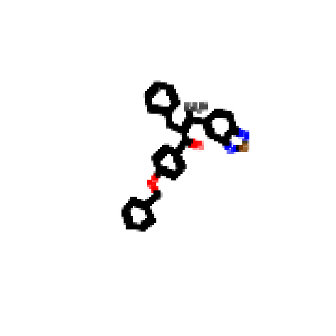 O=C(O)C(=C(Cc1ccccc1)C(=O)c1ccc(OCc2ccccc2)cc1)c1ccc2nsnc2c1